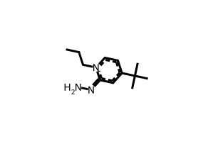 CCCn1ccc(C(C)(C)C)c/c1=N/N